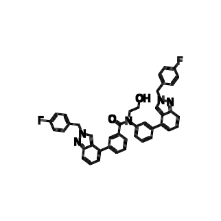 O=C(c1cccc(-c2cccc3nn(Cc4ccc(F)cc4)cc23)c1)N(CCO)c1cccc(-c2cccc3nn(Cc4ccc(F)cc4)cc23)c1